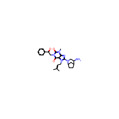 CC(C)=CCn1c(N2CC(N)C3CCC2C3)nc2c1c(=O)n(CC(=O)c1ccccc1)c(=O)n2C